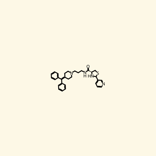 O=C(NCCCN1CCC(=C(c2ccccc2)c2ccccc2)CC1)[C@H]1CSC(c2cccnc2)N1